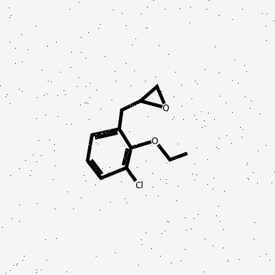 CCOc1c(Cl)cccc1CC1CO1